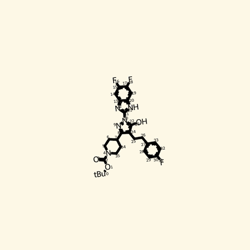 CC(C)(C)OC(=O)N1CCC(c2nn(-c3nc4cc(F)c(F)cc4[nH]3)c(O)c2CCc2ccc(F)cc2)CC1